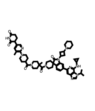 Cc1cc(C2CCC(=O)NC2=O)cnc1N1CCC(C(=O)N2CCC(C)(C(=O)N3CCC4(CC3)C(=O)N(C3CC(N5CCCCC5)C3)c3cc(-c5cc6ncn(C(C)C)c6c(NC6CC6)n5)ccc34)CC2)CC1